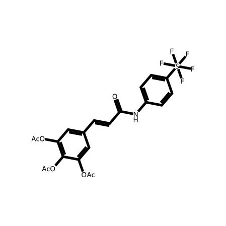 CC(=O)Oc1cc(/C=C/C(=O)Nc2ccc(S(F)(F)(F)(F)F)cc2)cc(OC(C)=O)c1OC(C)=O